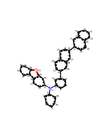 c1ccc(N(c2cccc(-c3ccc4ccc(-c5ccc6ccccc6c5)cc4c3)c2)c2ccc3c(c2)oc2ccccc23)cc1